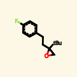 CC(C)(C)C1(CCc2ccc(F)cc2)CO1